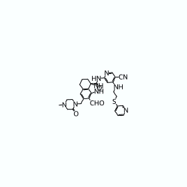 CN1CCN(Cc2cc3c4c(c2C=O)NNC4(C(=O)Nc2cc(NCCSc4cccnc4)c(C#N)cn2)CCC3)C(=O)C1